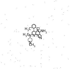 Cc1cccc(Cl)c1-c1cc(N(C)C2CCN(C)CC2)nc2c1nc(N)c1cncn12